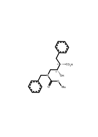 CC(C)(C)OC(=O)N(Cc1ccccc1)C[C@@H](O)[C@H](Cc1ccccc1)C(=O)O